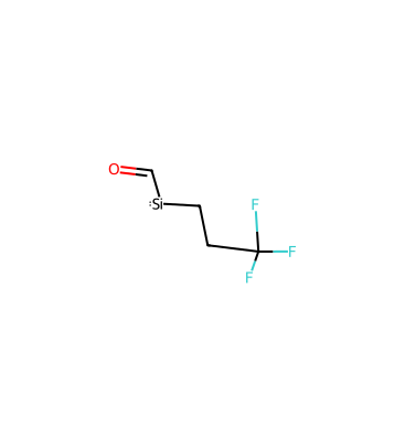 O=C[Si]CCC(F)(F)F